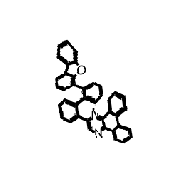 c1ccc(-c2ccccc2-c2cccc3c2oc2ccccc23)c(-c2cnc3c4ccccc4c4ccccc4c3n2)c1